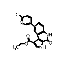 CCOC(=O)c1c[nH]c2c(=O)[nH]c3ccc(-c4ccc(Cl)nc4)cc3c12